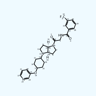 O=C(NCC(=O)N1CC[C@@H]2[C@H]1CCN2C1CCC(Oc2cccnc2)CC1)c1cccc(C(F)(F)F)c1